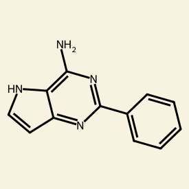 Nc1nc(-c2ccccc2)nc2cc[nH]c12